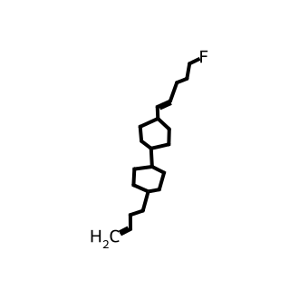 C=CCCC1CCC(C2CCC(/C=C/CCCF)CC2)CC1